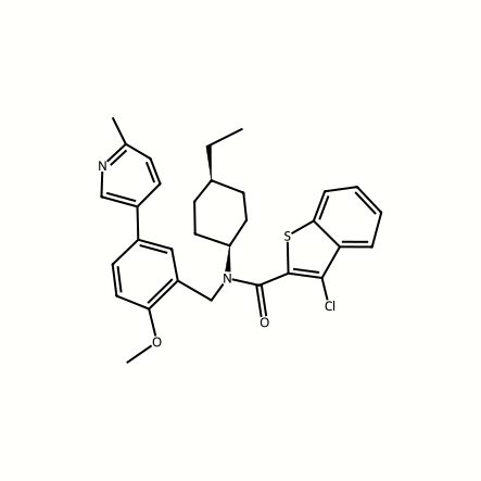 CC[C@H]1CC[C@@H](N(Cc2cc(-c3ccc(C)nc3)ccc2OC)C(=O)c2sc3ccccc3c2Cl)CC1